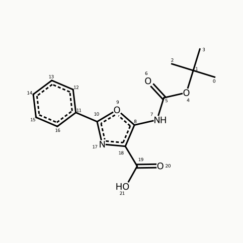 CC(C)(C)OC(=O)Nc1oc(-c2ccccc2)nc1C(=O)O